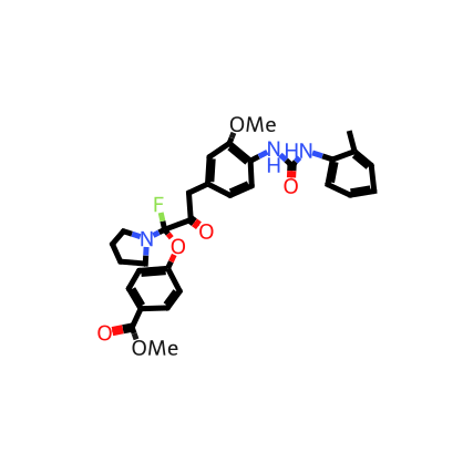 COC(=O)c1ccc(OC(F)(C(=O)Cc2ccc(NC(=O)Nc3ccccc3C)c(OC)c2)N2CCCC2)cc1